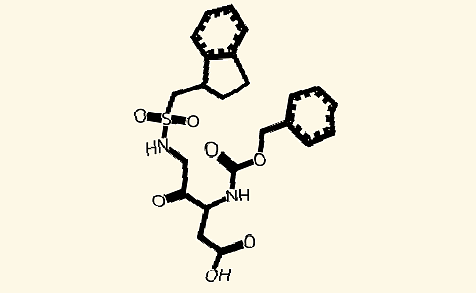 O=C(O)CC(NC(=O)OCc1ccccc1)C(=O)CNS(=O)(=O)CC1CCc2ccccc21